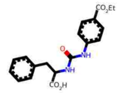 CCOC(=O)c1ccc(NC(=O)NC(Cc2ccccc2)C(=O)O)cc1